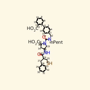 CCCCCN(Cc1ccc(-c2ccccc2C(=O)O)cc1)C(=O)N1C[C@@H](NC(=O)C(CS)Cc2ccccc2)C[C@H]1C(=O)O